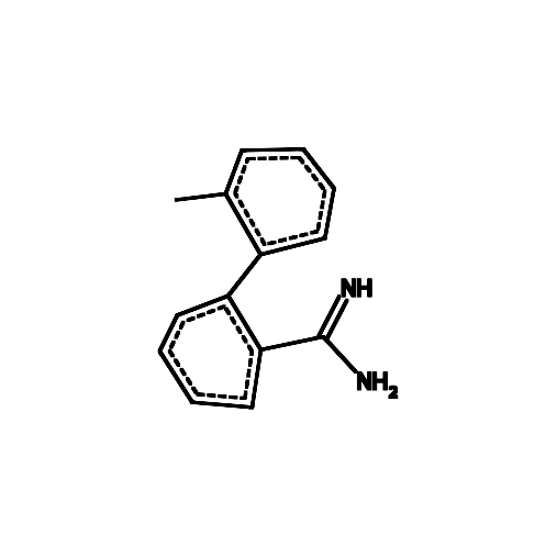 Cc1ccccc1-c1ccccc1C(=N)N